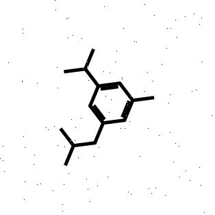 Cc1cc(CC(C)C)cc(C(C)C)c1